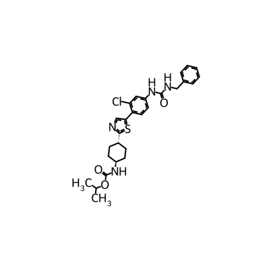 CC(C)OC(=O)N[C@H]1CC[C@H](c2ncc(-c3ccc(NC(=O)NCc4ccccc4)cc3Cl)s2)CC1